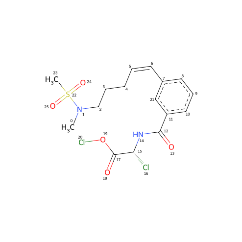 CN(CCC/C=C\c1cccc(C(=O)N[C@H](Cl)C(=O)OCl)c1)S(C)(=O)=O